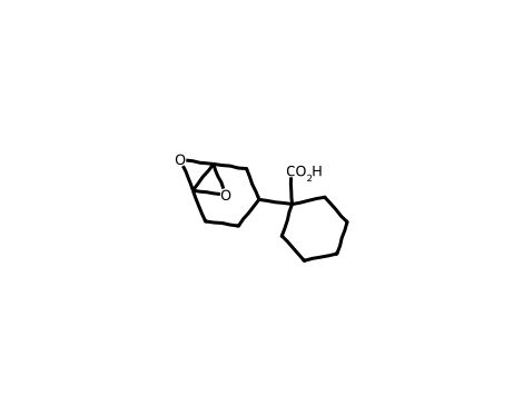 O=C(O)C1([C]2CCC34OC3(C2)O4)CCCCC1